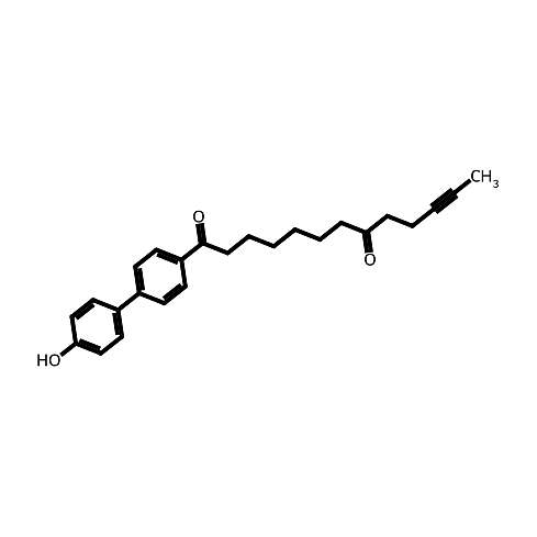 CC#CCCC(=O)CCCCCCC(=O)c1ccc(-c2ccc(O)cc2)cc1